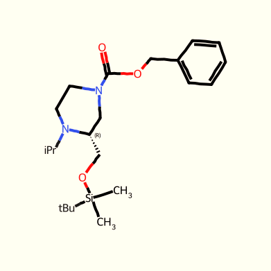 CC(C)N1CCN(C(=O)OCc2ccccc2)C[C@@H]1CO[Si](C)(C)C(C)(C)C